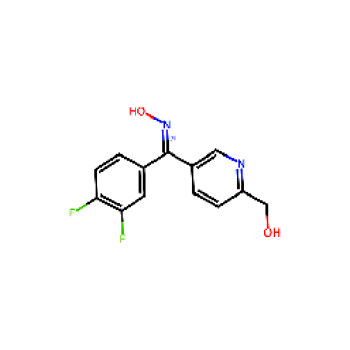 OCc1ccc(/C(=N/O)c2ccc(F)c(F)c2)cn1